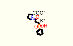 O=C([O-])[C@@H]1CCCN1C(=O)CCP(=O)(O)c1ccccc1.[K+]